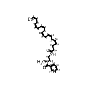 CC/C=C\C/C=C\C/C=C\C/C=C\C/C=C\C/C=C\CCC(=O)NCCN(C)C(=O)c1cccnc1